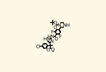 COC(=O)C(C)(c1ccc(Cl)cc1)c1c[nH]c(NC(=O)c2c(F)cc(C3CNCCN3C(=O)OC(C)(C)C)cc2F)n1